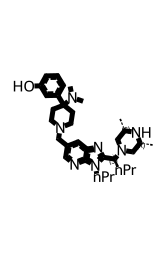 CCC[C@@H](c1nc2cc(CN3CCC(c4cccc(O)c4)(N(C)C)CC3)cnc2n1CCC)N1C[C@@H](C)N[C@@H](C)C1